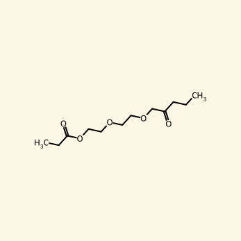 CCCC(=O)COCCOCCOC(=O)CC